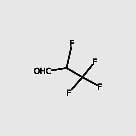 O=CC(F)C(F)(F)F